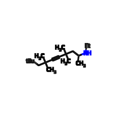 CCNC(C)CC(C)(C)C#CC(C)(C)CC(C)(C)C